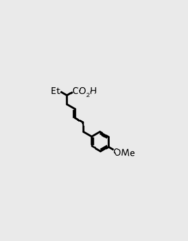 CCC(CC=CCCc1ccc(OC)cc1)C(=O)O